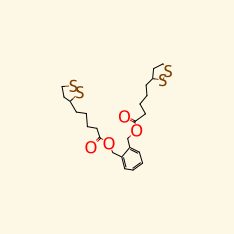 O=C(CCCCC1CCSS1)OCc1ccccc1COC(=O)CCCCC1CCSS1